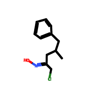 CC(C/C(CCl)=N\O)Cc1ccccc1